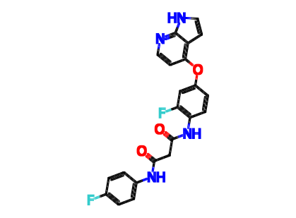 O=C(CC(=O)Nc1ccc(Oc2ccnc3[nH]ccc23)cc1F)Nc1ccc(F)cc1